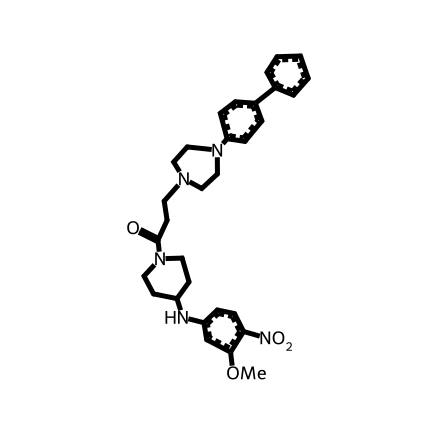 COc1cc(NC2CCN(C(=O)CCN3CCN(c4ccc(-c5ccccc5)cc4)CC3)CC2)ccc1[N+](=O)[O-]